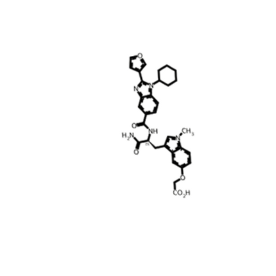 Cn1cc(C[C@H](NC(=O)c2ccc3c(c2)nc(-c2ccoc2)n3C2CCCCC2)C(N)=O)c2cc(OCC(=O)O)ccc21